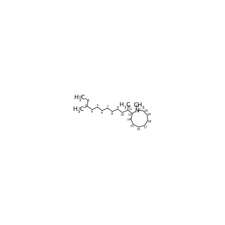 CCC(C)CCCCCCCC(C)C1CCCCCCCN1C